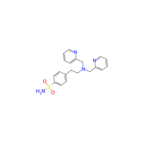 NS(=O)(=O)c1ccc(CCN(Cc2ccccn2)Cc2ccccn2)cc1